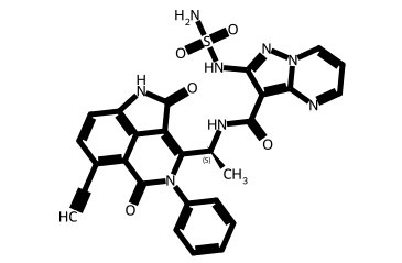 C#Cc1ccc2c3c(c([C@H](C)NC(=O)c4c(NS(N)(=O)=O)nn5cccnc45)n(-c4ccccc4)c(=O)c13)C(=O)N2